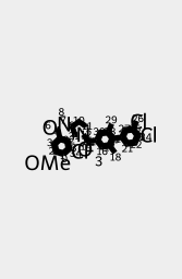 COc1ccc(C(=O)N(C)C2CCN(C(=O)c3cc(C)c(-c4ccc(Cl)c(Cl)c4)c(C)c3)C2)cc1C(F)(F)F